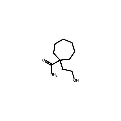 NC(=O)C1([CH]CO)CCCCCC1